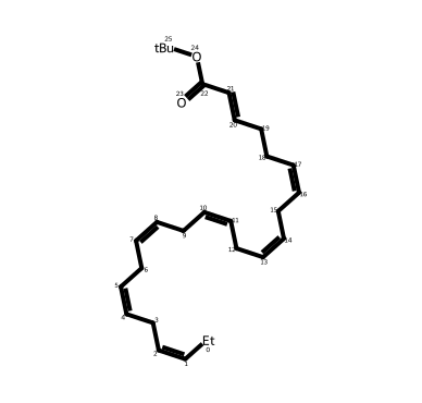 CC/C=C\C/C=C\C/C=C\C/C=C\C/C=C\C/C=C\CC/C=C/C(=O)OC(C)(C)C